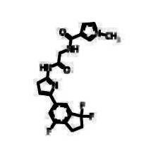 Cn1ccc(C(=O)NCC(=O)NC2=NC(c3cc(F)c4c(c3)C(F)(F)CC4)=CC2)c1